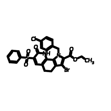 CCOC(=O)c1c(Br)c2c(n1Cc1ccc(Cl)cc1)-c1[nH]c(=O)c(S(=O)(=O)c3ccccc3)cc1CC2